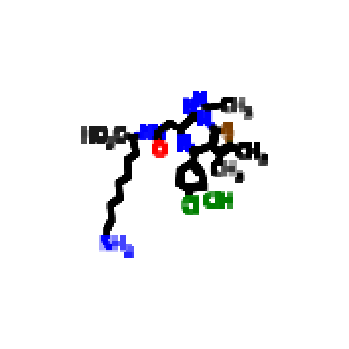 Cc1sc2c(c1C)C(c1ccc(Cl)cc1)=N[C@@H](CC(=O)NC(CCCCCCCCN)C(=O)O)c1nnc(C)n1-2.Cl